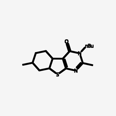 CCCCn1c(C)nc2c(c1=O)C1CCC(C)CC1S2